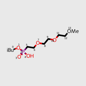 CCC(C)OP(=O)(O)CCOCCOCCOC